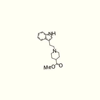 COC(=O)C1CCN(CCc2c[nH]c3ccccc23)CC1